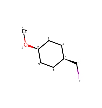 CCO[C@H]1CC[C@@H](CI)CC1